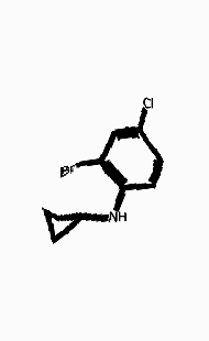 Clc1ccc(NC2CC2)c(Br)c1